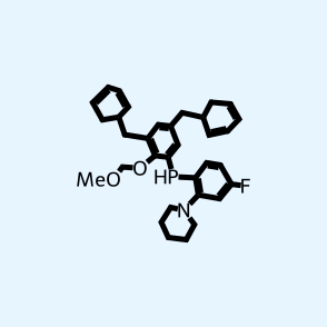 COCOc1c(CC2C=CC=CC2)cc(CC2C=CC=CC2)cc1Pc1ccc(F)cc1N1CCCCC1